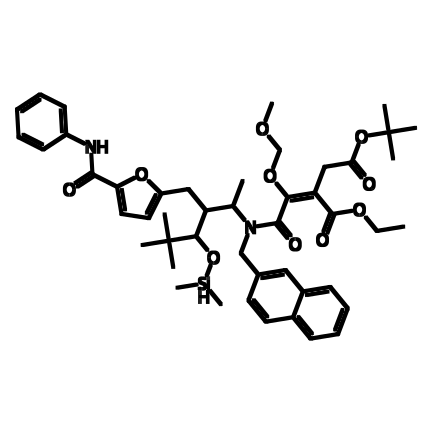 CCOC(=O)C(CC(=O)OC(C)(C)C)=C(OCOC)C(=O)N(Cc1ccc2ccccc2c1)C(C)C(Cc1ccc(C(=O)Nc2ccccc2)o1)C(O[SiH](C)C)C(C)(C)C